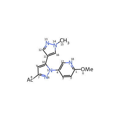 COc1ccc(-n2nc(C(C)=O)cc2-c2cnn(C)c2)cn1